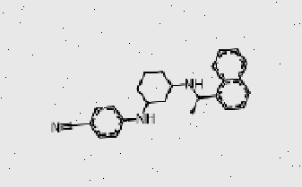 C[C@@H](NC1CCCC(Nc2ccc(C#N)cc2)C1)c1cccc2ccccc12